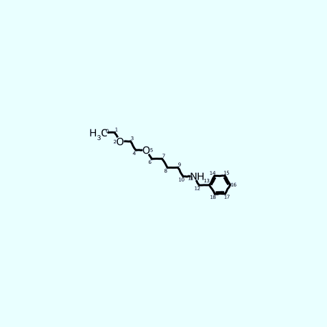 CCOCCOCCCCCNCc1ccccc1